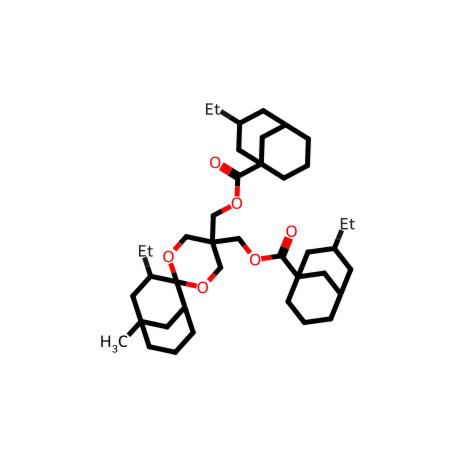 CCC1CC2CCCC(C(=O)OCC3(COC(=O)C45CCCC(CC(CC)C4)C5)COC4(OC3)C(CC)CC3(C)CCCC4C3)(C1)C2